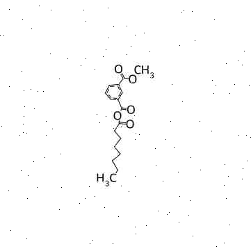 CCCCCCCC(=O)OC(=O)c1cccc(C(=O)OC)c1